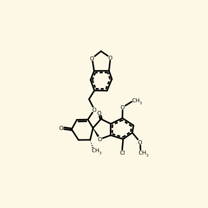 COc1cc(OC)c2c(c1Cl)O[C@]1(C2=O)C(OCc2ccc3c(c2)OCO3)=CC(=O)C[C@H]1C